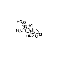 Cc1c2ccc(NC3(c4c(F)ccc(Cl)c4Cl)CCNC3)cc2nn1CC(=O)O.Cl